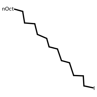 CCCCCCCCCCCCCCCCCCCCI